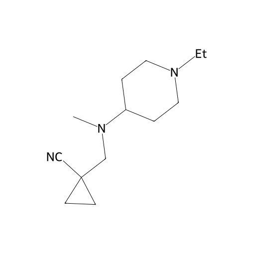 CCN1CCC(N(C)CC2(C#N)CC2)CC1